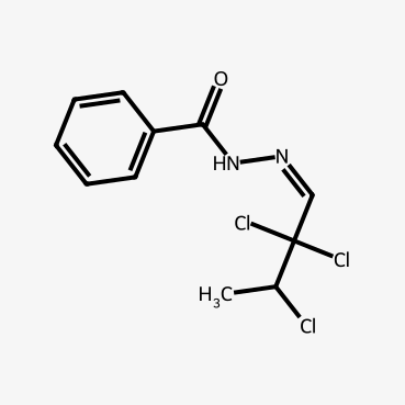 CC(Cl)C(Cl)(Cl)/C=N\NC(=O)c1ccccc1